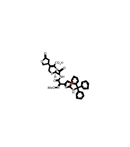 CO/N=C(\C(=O)N[C@@H]1C(=O)N2C(C(=O)O)=C(C3COC(=O)C3)CS[C@H]12)c1csc(NC(c2ccccc2)(c2ccccc2)c2ccccc2)n1